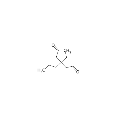 CCCC(CC)(CC=O)CC=O